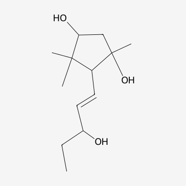 CCC(O)C=CC1C(C)(O)CC(O)C1(C)C